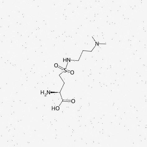 CN(C)CCCNS(=O)(=O)CC[C@H](N)C(=O)O